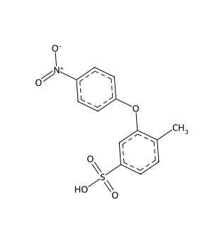 Cc1ccc(S(=O)(=O)O)cc1Oc1ccc([N+](=O)[O-])cc1